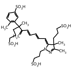 C=C(/C=C/C=C/C=C1\N(CCCS(=O)(=O)O)N=C(C)C1(C)CCCS(=O)(=O)O)C(C)(CCCS(=O)(=O)O)c1cc(S(=O)(=O)O)ccc1C